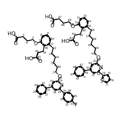 O=C(O)CCCOc1cccc(CCCCCCOc2cc(-c3ccccc3)cc(-c3ccc(F)cc3)n2)c1CCC(=O)O.O=C(O)CCCOc1cccc(CCCCCCOc2cc(-c3ccccc3)cc(-c3cccs3)n2)c1CCC(=O)O